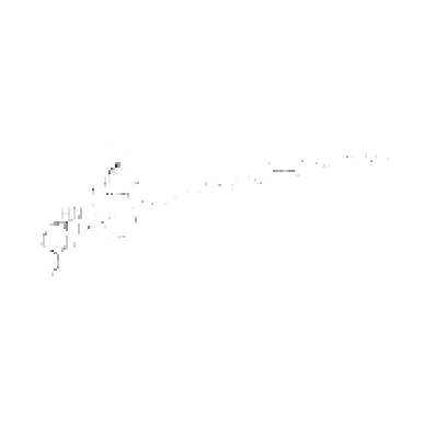 COCCOCCOCCOCCOC[C@@]12CO[C@H](O1)[C@H](Nc1nc(Cl)ns1)[C@H]1OC(C)(C)O[C@H]12